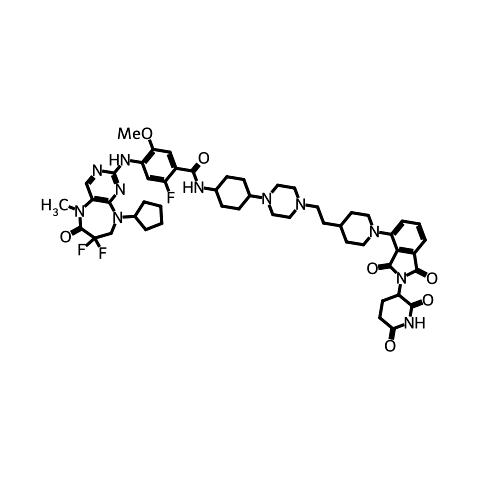 COc1cc(C(=O)NC2CCC(N3CCN(CCC4CCN(c5cccc6c5C(=O)N(C5CCC(=O)NC5=O)C6=O)CC4)CC3)CC2)c(F)cc1Nc1ncc2c(n1)N(C1CCCC1)CC(F)(F)C(=O)N2C